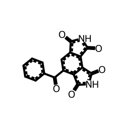 O=C(c1ccccc1)c1cc2c(=O)[nH]c(=O)c2c2c(=O)[nH]c(=O)c12